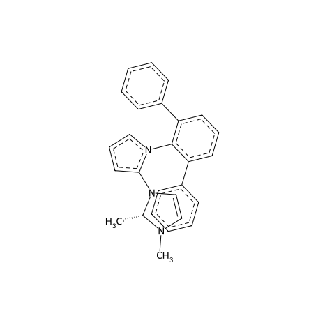 C[C@H]1N(C)C=CN1c1cccn1-c1c(-c2ccccc2)cccc1-c1ccccc1